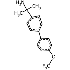 CC(C)(N)c1ccc(-c2ccc(OC(F)(F)F)cc2)cc1